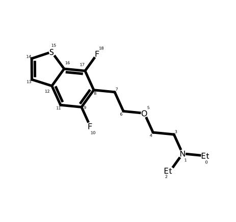 CCN(CC)CCOCCc1c(F)cc2ccsc2c1F